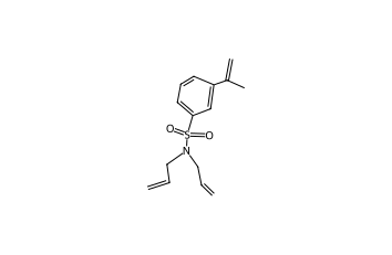 C=CCN(CC=C)S(=O)(=O)c1cccc(C(=C)C)c1